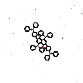 C1=CC(N(c2ccccc2)c2ccc3c(c2)oc2c3cc(N(c3ccccc3)c3ccccc3)c3c4oc5cc(N(c6ccccc6)c6ccccc6)ccc5c4cc(N(c4ccccc4)c4ccccc4)c23)=CCC1